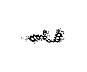 Nc1ccc2c(c1)Cc1cc(Cc3ccc(Nc4ccc(N)c(Cc5ccc6nc7ccc(N)cc7cc6c5)c4)cc3)ccc1N2